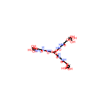 C[C@H]1C=C(O)C(CO)O[C@H]1OCCCCC(=O)NCCCNC(=O)CCOCC(C)(COCCC(=O)NCCCNC(=O)CCCCO[C@@H]1OC(CO)[C@H](O)C(O)[C@@H]1C)COCCC(=O)NCCCNC(=O)CCCCO[C@@H]1OC(CO)[C@H](O)C(O)[C@@H]1N